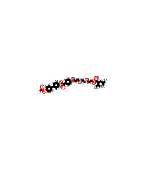 CC(=O)Oc1ccc(-c2ccc(OC(=O)c3ccc(OCCOCCOCCOC(=O)C(CC(C)C)C(C)C)cc3)cc2)cc1